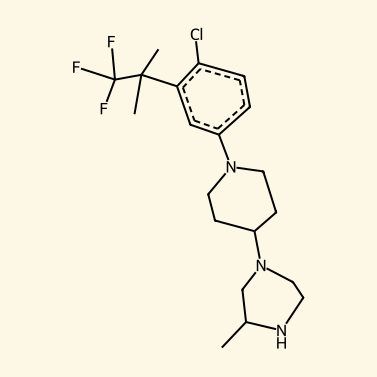 CC1CN(C2CCN(c3ccc(Cl)c(C(C)(C)C(F)(F)F)c3)CC2)CCN1